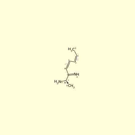 C/C=C\C=C/C(=N)[C@@H](C)N